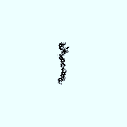 C=CCn1c(=O)c2cnc(Nc3ccc4c(c3)CCN(C3CCN(C5CN(c6cc7c(cc6F)C(=O)N(C6CCC(=O)NC6=O)C7)C5)CC3)C4)nc2n1-c1ccc2c(n1)[C@@](O)(CC)CC2